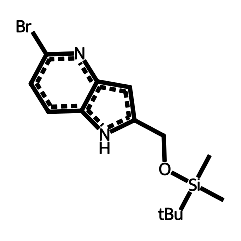 CC(C)(C)[Si](C)(C)OCc1cc2nc(Br)ccc2[nH]1